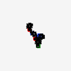 O=C(NC1CCN(CCOc2ccccc2)CC1)[C@H](c1ccc(Cl)cc1)c1ccccn1